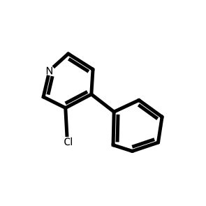 Clc1cnccc1-c1c[c]ccc1